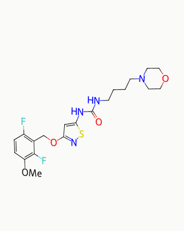 COc1ccc(F)c(COc2cc(NC(=O)NCCCCN3CCOCC3)sn2)c1F